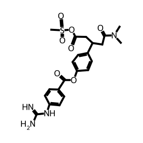 CN(C)C(=O)CC(CC(=O)OS(C)(=O)=O)c1ccc(OC(=O)c2ccc(NC(=N)N)cc2)cc1